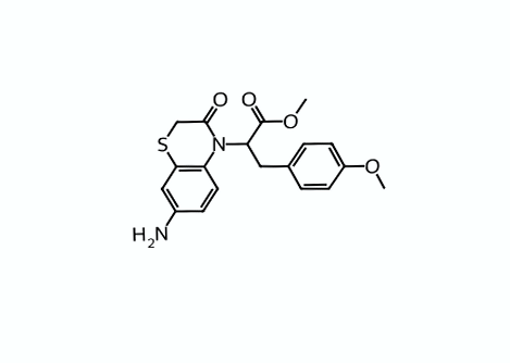 COC(=O)C(Cc1ccc(OC)cc1)N1C(=O)CSc2cc(N)ccc21